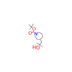 CC(C)(O)CC1CCCN(C(=O)OC(C)(C)C)CC1